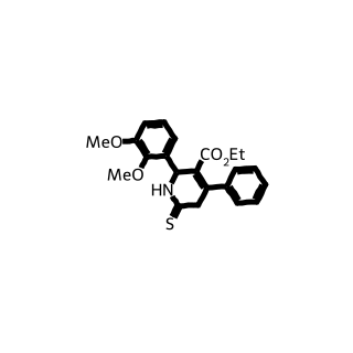 CCOC(=O)C1=C(c2ccccc2)CC(=S)NC1c1cccc(OC)c1OC